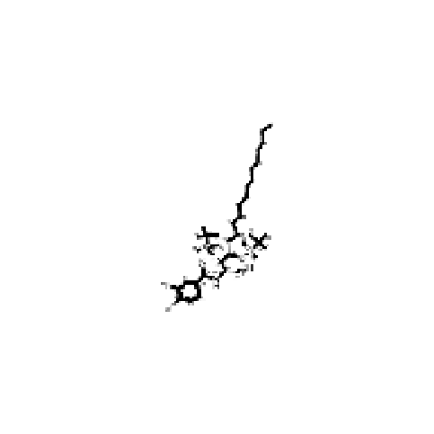 CCCCCCCCCCCCCC[C@@H](O[Si](C)(C)C(C)(C)C)[C@@H](O[Si](C)(C)C(C)(C)C)[C@H](CO)NC(=O)c1ccc(F)c(F)c1